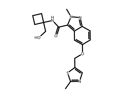 Cc1ncc(COc2ccc3nn(C)c(C(=O)NC4(CO)CCC4)c3c2)s1